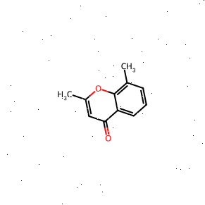 Cc1cc(=O)c2cccc(C)c2o1